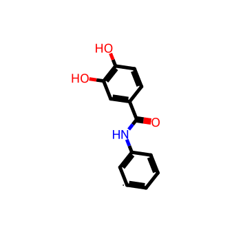 O=C(Nc1c[c]ccc1)c1ccc(O)c(O)c1